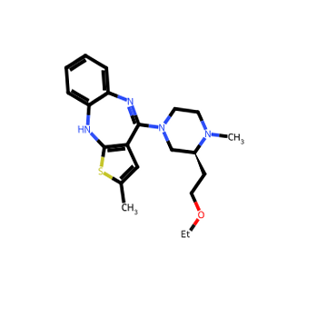 CCOCC[C@H]1CN(C2=Nc3ccccc3Nc3sc(C)cc32)CCN1C